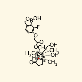 C[C@@H]1CC[C@@]23CCC(=O)[C@H]2[C@]1(C)[C@H](OC(=O)COc1ccc2c(c1F)B(O)OC2)C[C@@](C)(CO)[C@@H](O)[C@@H]3C